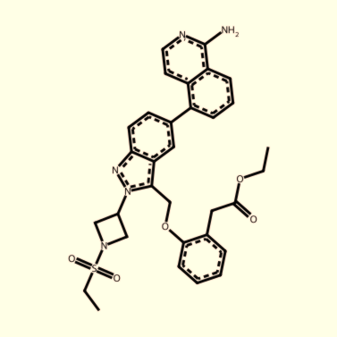 CCOC(=O)Cc1ccccc1OCc1c2cc(-c3cccc4c(N)nccc34)ccc2nn1C1CN(S(=O)(=O)CC)C1